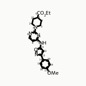 CCOC(=O)C1CCN(c2nccc(Nc3cc(-c4ccc(OC)cc4)no3)n2)CC1